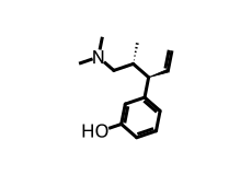 C=C[C@@H](c1cccc(O)c1)[C@@H](C)CN(C)C